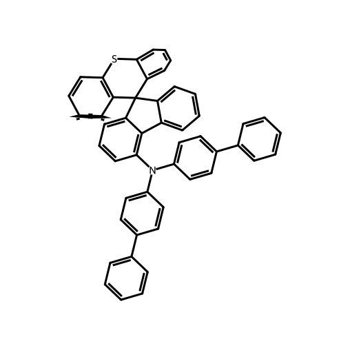 c1ccc(-c2ccc(N(c3ccc(-c4ccccc4)cc3)c3cccc4c3-c3ccccc3C43c4ccccc4Sc4ccc5ccccc5c43)cc2)cc1